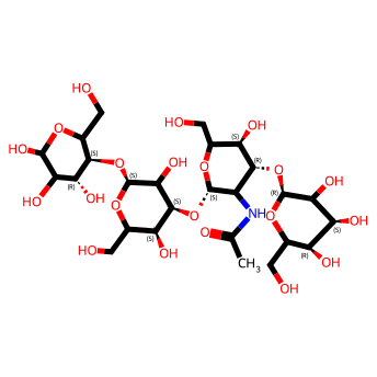 CC(=O)NC1[C@H](O[C@@H]2C(O)[C@H](O[C@@H]3C(CO)OC(O)C(O)[C@H]3O)OC(CO)[C@@H]2O)OC(CO)[C@@H](O)[C@@H]1O[C@@H]1OC(CO)[C@H](O)[C@H](O)C1O